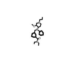 CCCN1CCC(N(Cc2cccc(C(=O)N(CC)CC)c2)c2ccccc2)C(OC)C1